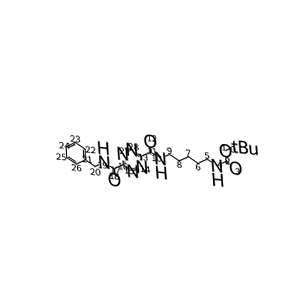 CC(C)(C)OC(=O)NCCCCCNC(=O)c1nnc(C(=O)NCc2ccccc2)nn1